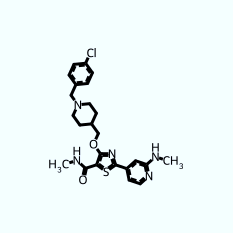 CNC(=O)c1sc(-c2ccnc(NC)c2)nc1OCC1CCN(Cc2ccc(Cl)cc2)CC1